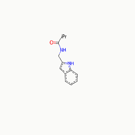 CC(C)C(=O)NCc1cc2ccccc2[nH]1